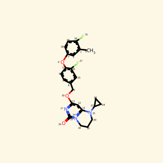 Cc1cc(Oc2ccc(COc3cc4n(c(=O)n3)CCCN4C3CC3)cc2F)ccc1F